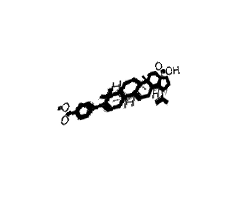 C=C(C)[C@@H]1CC[C@]2(C(=O)O)CC[C@]3(C)C(CC[C@@H]4[C@@]5(C)CC=C(c6ccc(C(=O)OC)cc6)C(C)(C)[C@@H]5CC[C@]43C)[C@@H]12